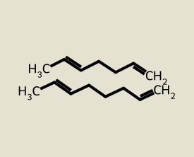 C=CCC/C=C/C.C=CCCC/C=C/C